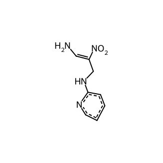 NC=C(CNc1ccccn1)[N+](=O)[O-]